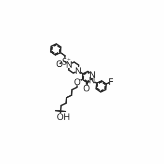 CC(C)(O)CCCCCCOc1c(N2CCN([S+]([O-])Cc3ccccc3)CC2)cnn(-c2cccc(F)c2)c1=O